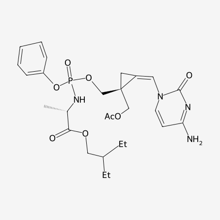 CCC(CC)COC(=O)[C@H](C)NP(=O)(OC[C@@]1(COC(C)=O)C/C1=C/n1ccc(N)nc1=O)Oc1ccccc1